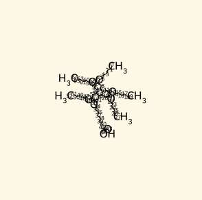 CCCCCCOc1cc2c3cc(OCCCCCC)c(OCCCCCC)cc3c3cc(OCCCCCCCCC(=O)O)c(OCCCCCC)cc3c2cc1OCCCCCC